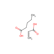 C=CC(=O)O.CCCCC(=O)O